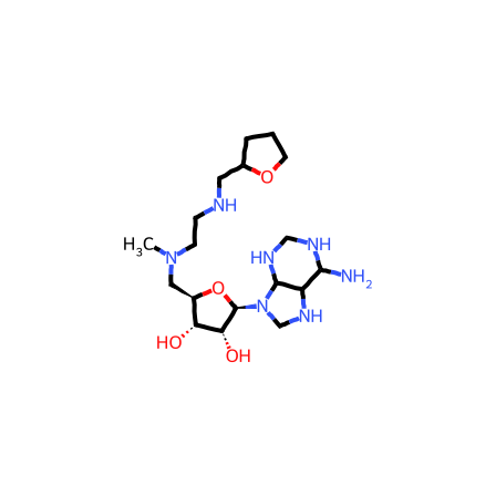 CN(CCNCC1CCCO1)C[C@H]1O[C@@H](N2CNC3C(N)NCNC32)[C@H](O)[C@@H]1O